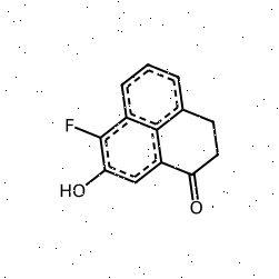 O=C1CCc2cccc3c(F)c(O)cc1c23